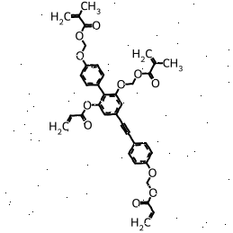 C=CC(=O)OCOc1ccc(C#Cc2cc(OCOC(=O)C(=C)C)c(-c3ccc(OCOC(=O)C(=C)C)cc3)c(OC(=O)C=C)c2)cc1